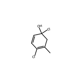 CC1=C(Cl)C=CC(O)(Cl)C1